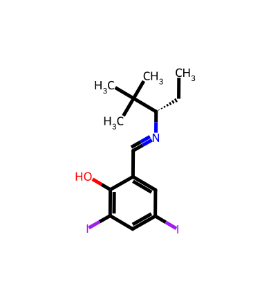 CC[C@H](/N=C/c1cc(I)cc(I)c1O)C(C)(C)C